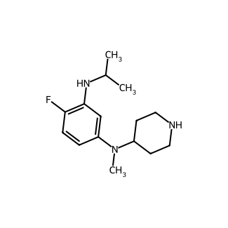 CC(C)Nc1cc(N(C)C2CCNCC2)ccc1F